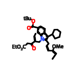 C/C=C(\C=C/Cc1c(C2CCCCC2)c2ccc(C(=O)OC(C)(C)C)cc2n1C/C(=C\C)C(=O)CC(=O)OCC)OC